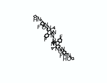 OC1(CNCc2cc(F)c3oc(-c4cc(-c5ccc(F)cc5-c5nncn5CCn5cnnc5-c5cc(F)ccc5-c5cc(-c6nc7cc(CNCC8CCC8)cc(F)c7o6)nc(C6CC6)c5)cc(C5CC5)n4)nc3c2)CCC1